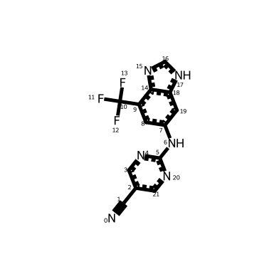 N#Cc1cnc(Nc2cc(C(F)(F)F)c3nc[nH]c3c2)nc1